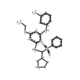 O=S(=O)(c1ccccc1)C(Nc1nc(Nc2cccc(C(F)(F)F)c2)nc(OCC(F)(F)F)n1)C1CCNC1